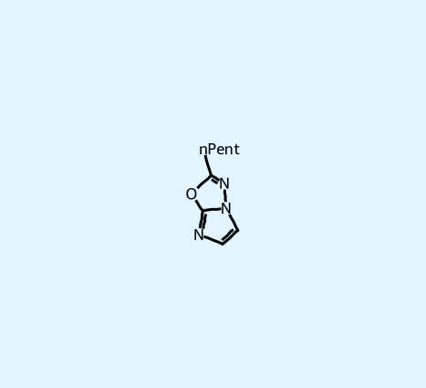 CCCCCc1nn2ccnc2o1